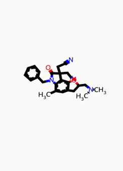 Cc1cc2c(c3c1N(Cc1ccccc1)C(=O)C3(CC#N)CC#N)OC(CN(C)C)C2